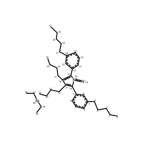 CCCCCc1cccc(C2=C(CCCC)C(CCCC)=C(c3cccc(CCCCC)c3)[N+]2=[N-])c1.C[CH2][Ni][CH2]C